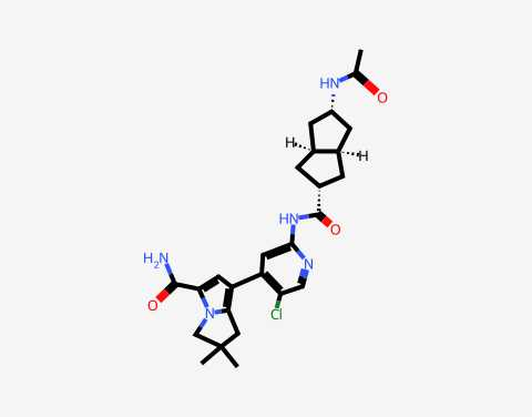 CC(=O)N[C@H]1C[C@@H]2C[C@@H](C(=O)Nc3cc(-c4cc(C(N)=O)n5c4CC(C)(C)C5)c(Cl)cn3)C[C@@H]2C1